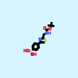 CC(C)(C)OC(=O)NCc1nc(-c2ccc(B(O)O)cc2)cs1